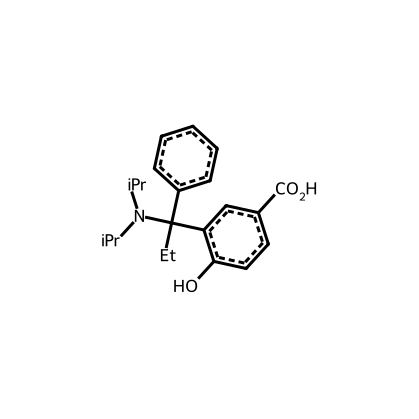 CCC(c1ccccc1)(c1cc(C(=O)O)ccc1O)N(C(C)C)C(C)C